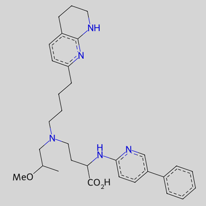 COC(C)CN(CCCCc1ccc2c(n1)NCCC2)CCC(Nc1ccc(-c2ccccc2)cn1)C(=O)O